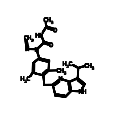 C=NN(C(=O)NC(C)=O)c1cc(C)c(Cc2ccc3[nH]cc(C(C)C)c3n2)c(C)c1